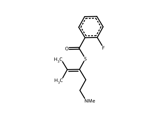 CNCCC(SC(=O)c1ccccc1F)=C(C)C